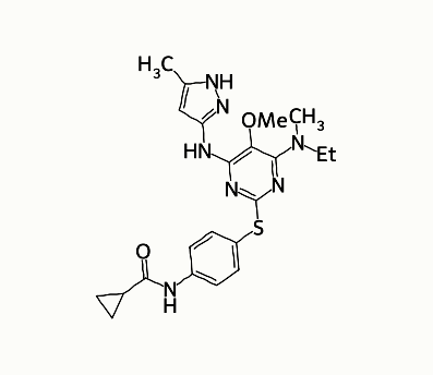 CCN(C)c1nc(Sc2ccc(NC(=O)C3CC3)cc2)nc(Nc2cc(C)[nH]n2)c1OC